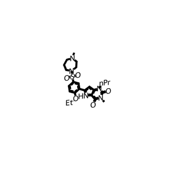 CCCn1c(=O)n(C)c(=O)c2[nH]c(-c3cc(S(=O)(=O)N4CCCN(C)CC4)ccc3OCC)cc21